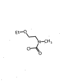 CCOCCN(C)C(=O)Cl